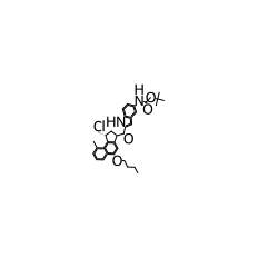 CCCCOc1cc2c(c3c(C)cccc13)[C@H](CCl)CC2C(=O)c1cc2cc(NC(=O)OC(C)(C)C)ccc2[nH]1